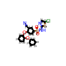 N#Cc1cc(S(=O)(=O)Nc2ncc(Cl)s2)ccc1Oc1ccccc1Oc1ccccc1